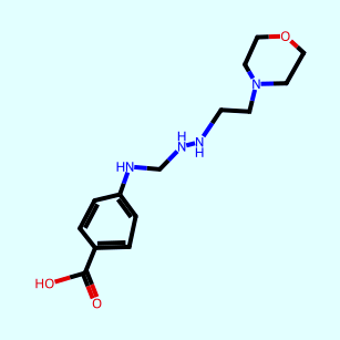 O=C(O)c1ccc(NCNNCCN2CCOCC2)cc1